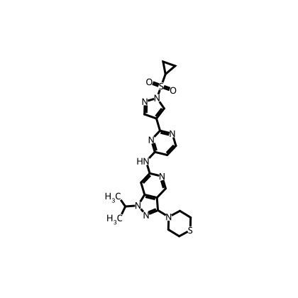 CC(C)n1nc(N2CCSCC2)c2cnc(Nc3ccnc(-c4cnn(S(=O)(=O)C5CC5)c4)n3)cc21